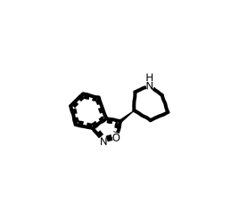 c1ccc2c([C@@H]3CCCNC3)onc2c1